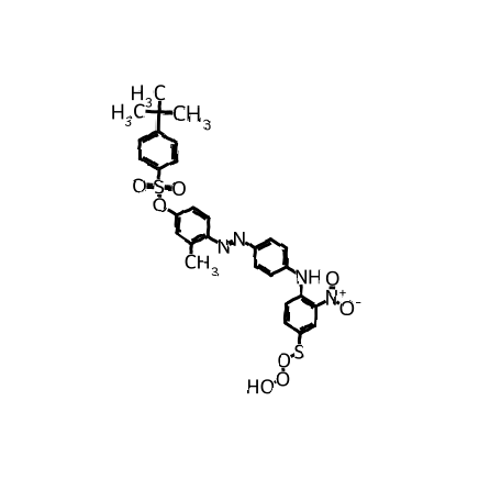 Cc1cc(OS(=O)(=O)c2ccc(C(C)(C)C)cc2)ccc1/N=N/c1ccc(Nc2ccc(SOOO)cc2[N+](=O)[O-])cc1